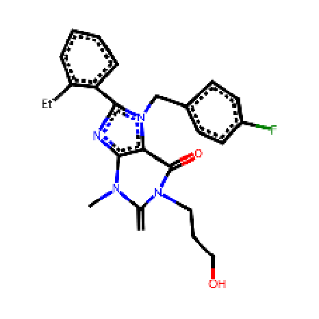 C=C1N(CCCO)C(=O)c2c(nc(-c3ccccc3CC)n2Cc2ccc(F)cc2)N1C